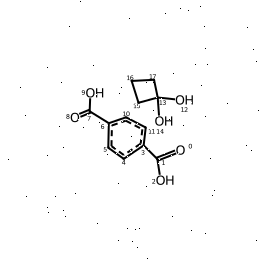 O=C(O)c1ccc(C(=O)O)cc1.OC1(O)CCC1